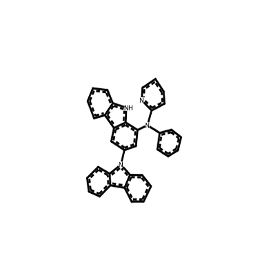 c1ccc(N(c2ccccn2)c2cc(-n3c4ccccc4c4ccccc43)cc3c2[nH]c2ccccc23)cc1